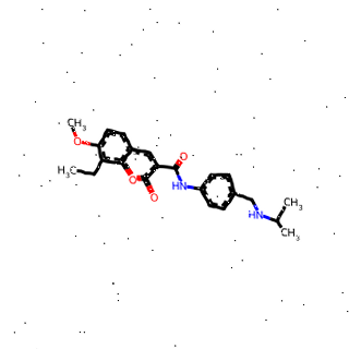 CCc1c(OC)ccc2cc(C(=O)Nc3ccc(CNC(C)C)cc3)c(=O)oc12